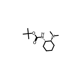 CN(C)[C@H]1CCCC[C@@H]1NC(=O)OC(C)(C)C